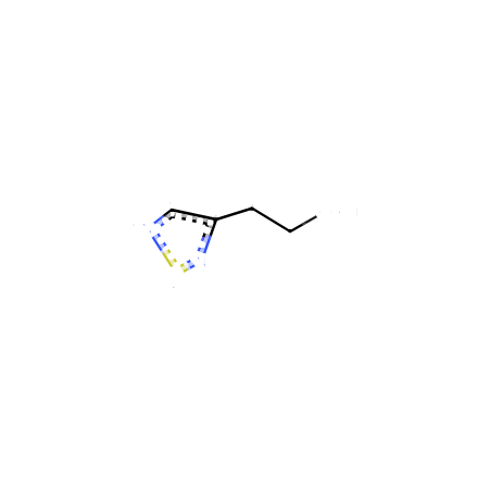 O=C(O)CCc1cnsn1